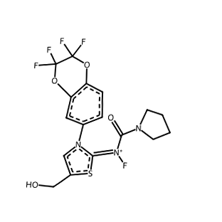 O=C(N1CCCC1)/[N+](F)=c1/sc(CO)cn1-c1ccc2c(c1)OC(F)(F)C(F)(F)O2